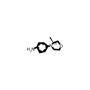 C[C@H]1COCCN1c1ccc(N)cc1